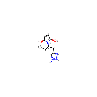 CC(=O)CC(Cc1cn(C)nn1)N1C(=O)C=CC1=O